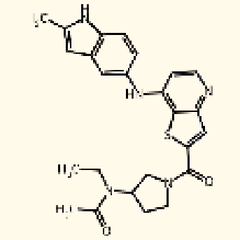 CCN(C(C)=O)C1CCN(C(=O)c2cc3nccc(Nc4ccc5[nH]c(C)cc5c4)c3s2)C1